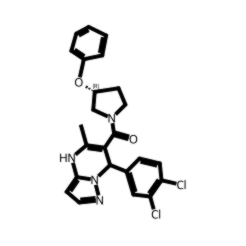 CC1=C(C(=O)N2CC[C@@H](Oc3ccccc3)C2)C(c2ccc(Cl)c(Cl)c2)n2nccc2N1